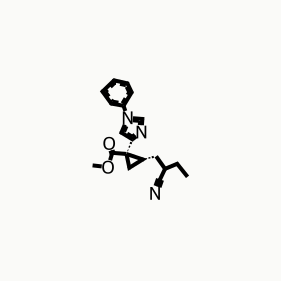 CCC(C#N)C[C@@H]1C[C@]1(C(=O)OC)c1cn(-c2ccccc2)cn1